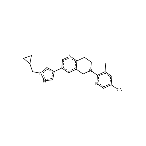 Cc1cc(C#N)cnc1N1CCc2ncc(-c3cnn(CC4CC4)c3)cc2C1